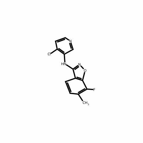 Cc1ccc2c(Nc3cnccc3Cl)noc2c1F